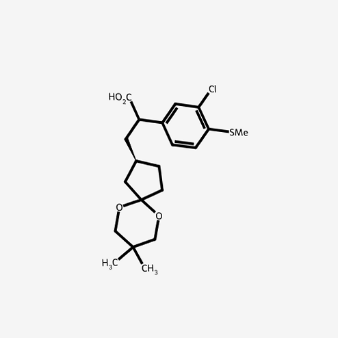 CSc1ccc(C(C[C@H]2CCC3(C2)OCC(C)(C)CO3)C(=O)O)cc1Cl